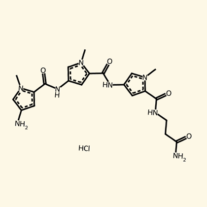 Cl.Cn1cc(NC(=O)c2cc(NC(=O)c3cc(N)cn3C)cn2C)cc1C(=O)NCCC(N)=O